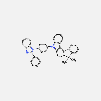 CC1(C)c2ccccc2-c2c1ccc1c2c2ccccc2n1-c1ccc(-n2c(-c3ccccc3)nc3ccccc32)cc1